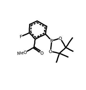 COC(=O)c1c(F)cccc1B1OC(C)(C)C(C)(C)O1